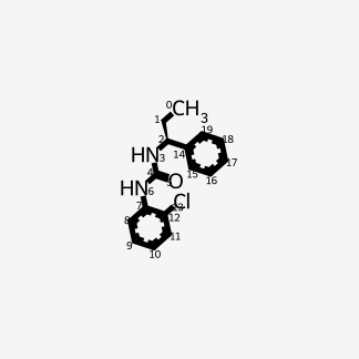 CC[C@H](NC(=O)Nc1ccccc1Cl)c1ccccc1